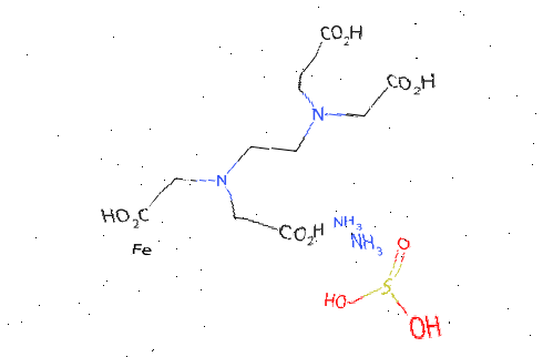 N.N.O=C(O)CN(CCN(CC(=O)O)CC(=O)O)CC(=O)O.O=S(O)O.[Fe]